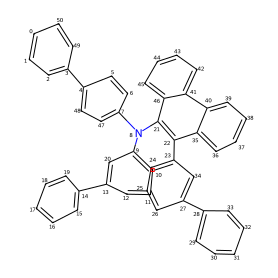 c1ccc(-c2ccc(N(c3cccc(-c4ccccc4)c3)c3c(-c4cccc(-c5ccccc5)c4)c4ccccc4c4ccccc34)cc2)cc1